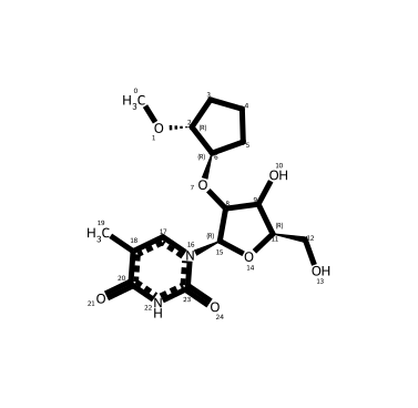 CO[C@@H]1CCC[C@H]1OC1C(O)[C@@H](CO)O[C@H]1n1cc(C)c(=O)[nH]c1=O